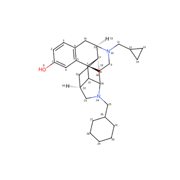 Oc1ccc2c(c1)[C@]13CCN(CC4CC4)[C@H](C2)[C@]12CCC1C3[C@@H](CN1CC1CCCCC1)C2